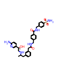 CC(Cc1cccc(CC(=O)NCc2ccc(C(=O)NCc3ccc(S(N)(=O)=O)cc3)cc2)c1)NC[C@H](O)c1ccc(N)nc1